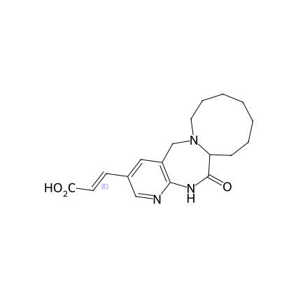 O=C(O)/C=C/c1cnc2c(c1)CN1CCCCCCCC1C(=O)N2